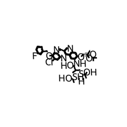 CC(O)=[SH]CC(C[SH]=C(C)O)C(=O)Nc1cc2c(Nc3ccc(OCc4cccc(F)c4)c(Cl)c3)c(C#N)cnc2cc1OC[C@@H]1COC(C)(C)O1